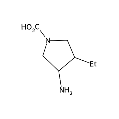 CCC1CN(C(=O)O)CC1N